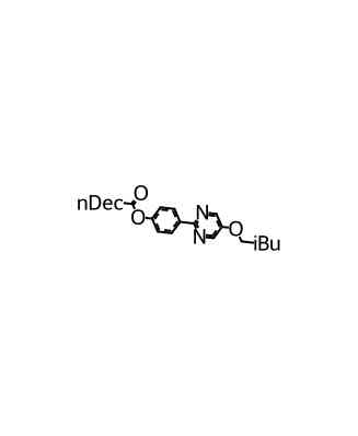 CCCCCCCCCCC(=O)Oc1ccc(-c2ncc(OCC(C)CC)cn2)cc1